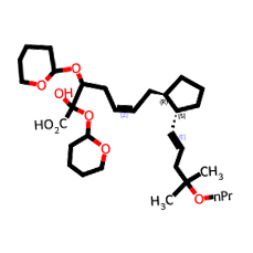 CCCOC(C)(C)C/C=C/[C@H]1CCC[C@@H]1C/C=C\CC(OC1CCCCO1)C(O)(OC1CCCCO1)C(=O)O